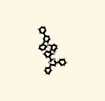 c1ccc(-c2ccc3c(c2)c2ccccc2n3-c2cccc3oc4c(-c5nc(-c6ccccc6)cc(-c6ccccc6)n5)cccc4c23)cc1